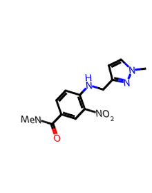 CNC(=O)c1ccc(NCc2ccn(C)n2)c([N+](=O)[O-])c1